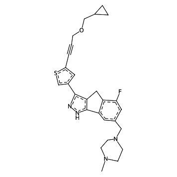 CN1CCN(Cc2cc(F)c3c(c2)-c2[nH]nc(-c4csc(C#CCOCC5CC5)c4)c2C3)CC1